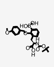 COc1ccc(COc2c(C[C@@H](NC(=O)OC(C)(C)C)C(=O)O)cccc2B(O)O)cc1